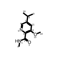 CNC(=O)c1ncc(C(C)C)cc1OC